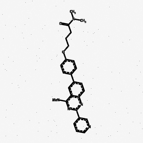 CNc1nc(-c2cccnc2)nc2ccc(-c3ccc(OCCCC(=O)N(C)C)cc3)cc12